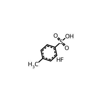 Cc1ccc(S(=O)(=O)O)cc1.F